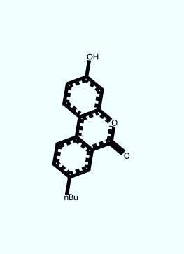 CCCCc1ccc2c(c1)c(=O)oc1cc(O)ccc12